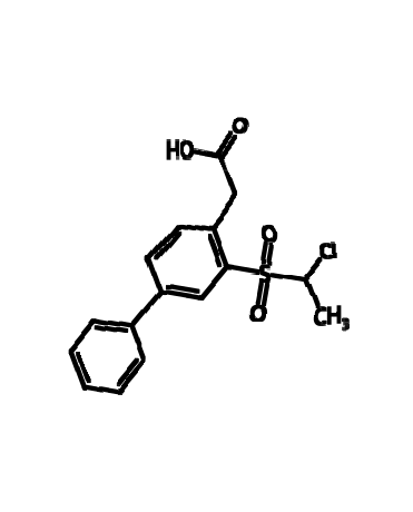 CC(Cl)S(=O)(=O)c1cc(-c2ccccc2)ccc1CC(=O)O